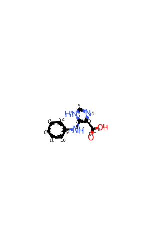 O=C(O)c1nc[nH]c1Nc1ccccc1